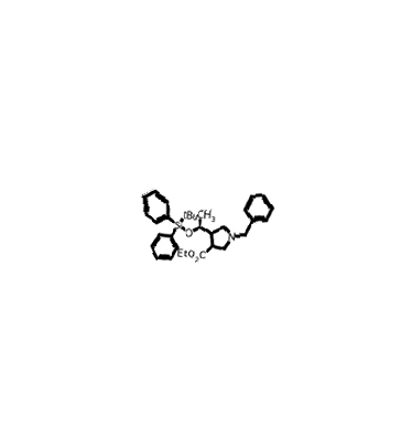 CCOC(=O)C1CN(Cc2ccccc2)CC1[C@H](C)O[Si](c1ccccc1)(c1ccccc1)C(C)(C)C